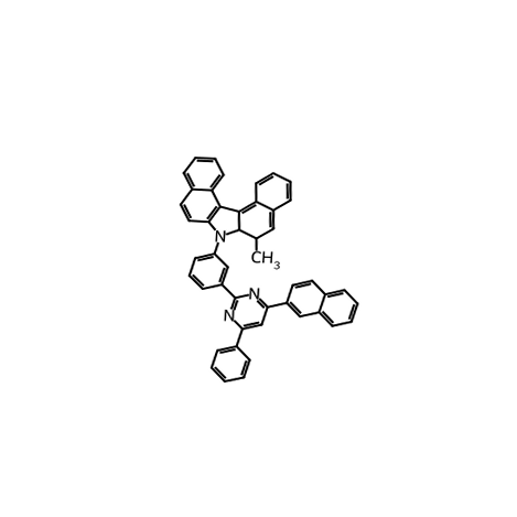 CC1C=c2ccccc2=C2c3c(ccc4ccccc34)N(c3cccc(-c4nc(-c5ccccc5)cc(-c5ccc6ccccc6c5)n4)c3)C21